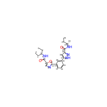 CCC(CC)NC(=O)c1cnc(-c2cccc(-c3cc(C(=O)N[C@@H](C)CC)n[nH]3)c2)o1